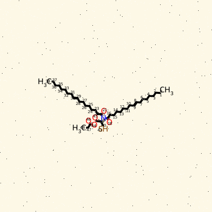 CCCCCCCCC=CCCCCCCCC(=O)N(C(=O)CCCCCCCC=CCCCCCCCC)C(CS)C(=O)OC(=O)CC